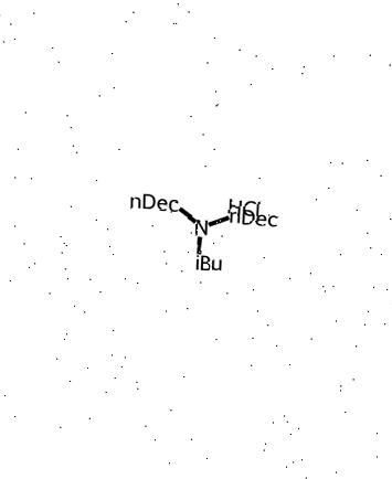 CCCCCCCCCCN(CCCCCCCCCC)C(C)CC.Cl